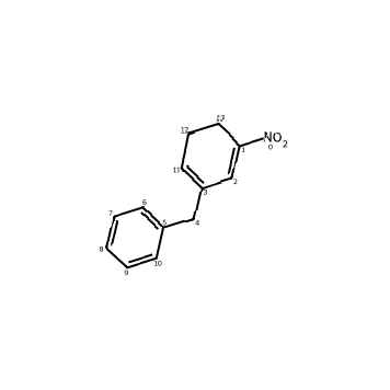 O=[N+]([O-])C1=CC(Cc2ccccc2)=CCC1